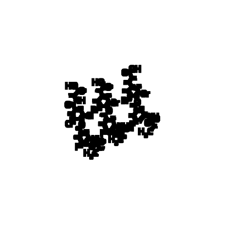 CCS(=O)(=O)Nc1cc(C#N)cc(COc2c(Br)cc(CCC(=O)O)cc2Br)c1.CCS(=O)(=O)Nc1cc(F)cc(COc2c(Br)cc(CC(=O)O)cc2Br)c1.CCS(=O)(=O)Nc1cc(F)cc(COc2c(Cl)cc(C(=O)NCC(=O)O)cc2Cl)c1